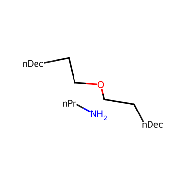 CCCCCCCCCCCCOCCCCCCCCCCCC.CCCN